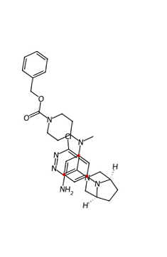 CN(c1cccc(N2[C@@H]3CC[C@H]2CN(c2cc(Cl)nnc2N)C3)c1)C1CCN(C(=O)OCc2ccccc2)CC1